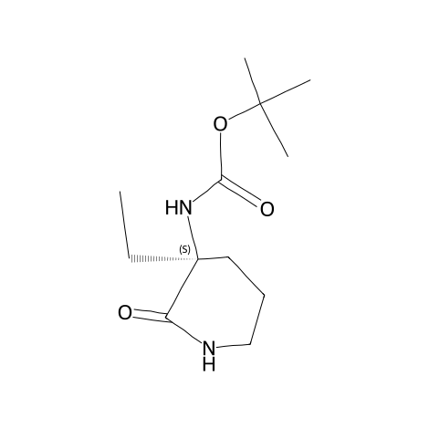 CC[C@]1(NC(=O)OC(C)(C)C)CCCNC1=O